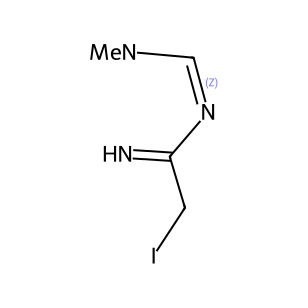 CN/C=N\C(=N)CI